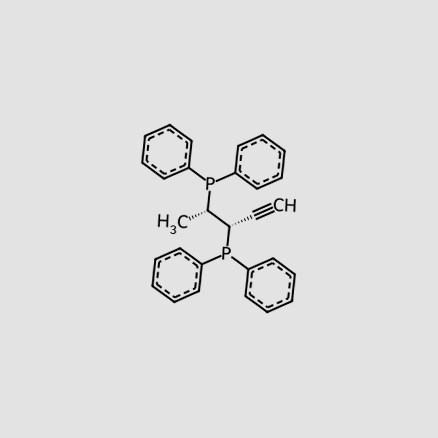 C#C[C@@H]([C@H](C)P(c1ccccc1)c1ccccc1)P(c1ccccc1)c1ccccc1